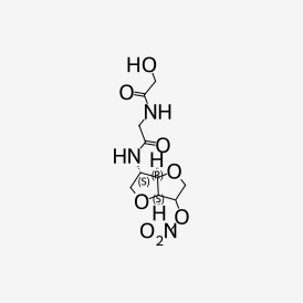 O=C(CO)NCC(=O)N[C@H]1CO[C@@H]2C(O[N+](=O)[O-])CO[C@H]12